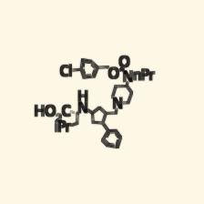 CCCN(C(=O)OCc1ccc(Cl)cc1)C1CCN(CC2CC(N[C@H](CC(C)C)C(=O)O)CC2c2ccccc2)CC1